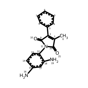 CC1=C(c2ccccc2)C(=O)N(c2ccc(N)cc2N)C1=O